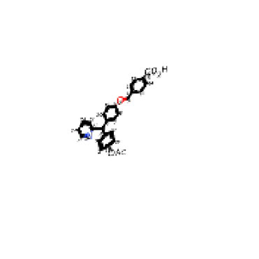 CC(=O)Oc1ccc(C(c2ccc(OCc3ccc(C(=O)O)cc3)cc2)c2ccccn2)cc1